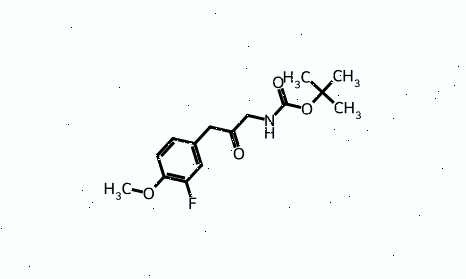 COc1ccc(CC(=O)CNC(=O)OC(C)(C)C)cc1F